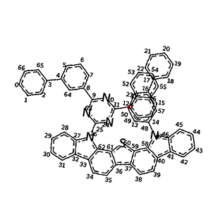 c1ccc(-c2cccc(-c3nc(-c4cccc(-c5ccccc5)c4)nc(-n4c5ccccc5c5ccc6c7ccc8c9ccccc9n(-c9ccc%10ccccc%10c9)c8c7sc6c54)n3)c2)cc1